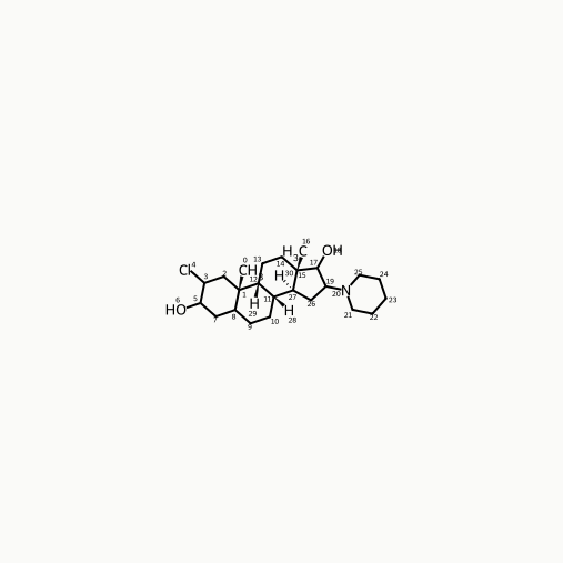 C[C@]12CC(Cl)C(O)CC1CC[C@@H]1[C@H]2CC[C@]2(C)C(O)C(N3CCCCC3)C[C@@H]12